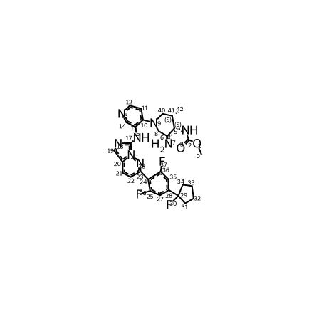 COC(=O)N[C@@H]1[C@H](N)CN(c2ccncc2Nc2ncc3ccc(-c4c(F)cc(C5(F)CCCC5)cc4F)nn23)C[C@@H]1C